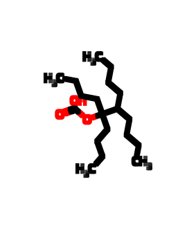 CCCCC(CCCC)C(CCCC)(CCCC)OC(=O)O